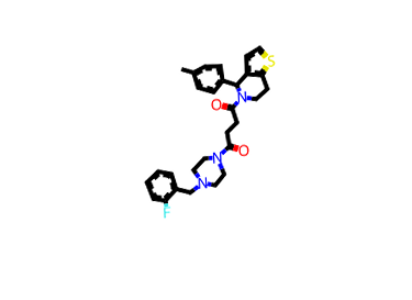 Cc1ccc(C2c3ccsc3CCN2C(=O)CCC(=O)N2CCN(Cc3ccccc3F)CC2)cc1